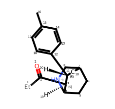 CCC(=O)[C@@H]1C2CCC(CN2)C[C@H]1c1ccc(C)cc1